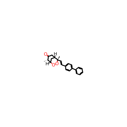 C[C@@H]1C(=O)C[C@H]2C[C@@H]1OO[C@@]2(C)C=Cc1ccc(-c2ccccc2)cc1